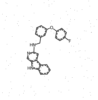 Fc1ccc(Oc2cccc(CNc3cc4c(cn3)[nH]c3ccccc34)c2)cc1